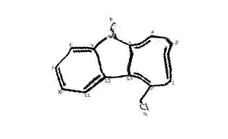 Clc1cccc2sc3ccccc3c12